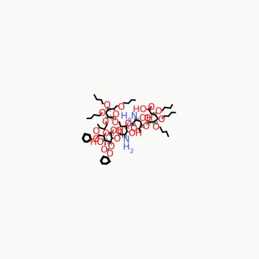 CCCCOCC1O[C@@H](OCC2O[C@@H](OC3[C@H](O)OC(C(=O)Oc4ccccc4)[C@@](C)(O)[C@@H]3OC(=O)Oc3ccccc3)[C@@H](N)C(O)[C@@H]2O[C@@H]2OC(C)[C@@H](O[C@@H]3OC(C(=O)O)[C@H](OCCCC)C(OCCCC)[C@@H]3OCCCC)C(O)[C@@H]2N)[C@@H](OCCCC)C(OCCCC)[C@@H]1OCCCC